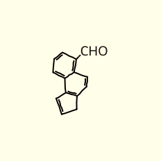 O=Cc1cccc2c3c(ccc12)CC=C3